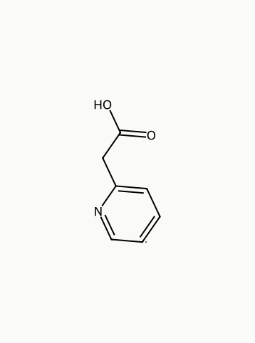 O=C(O)Cc1cc[c]cn1